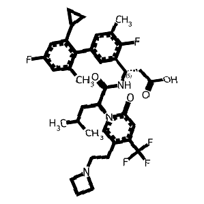 Cc1cc(-c2c(C)cc(F)cc2C2CC2)cc([C@H](CC(=O)O)NC(=O)C(CC(C)C)n2cc(CCN3CCC3)c(C(F)(F)F)cc2=O)c1F